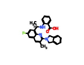 Cc1cc2cc(F)cc([C@H](C)Nc3ccccc3C(=O)O)c2nc1N1Cc2ccccc2C1